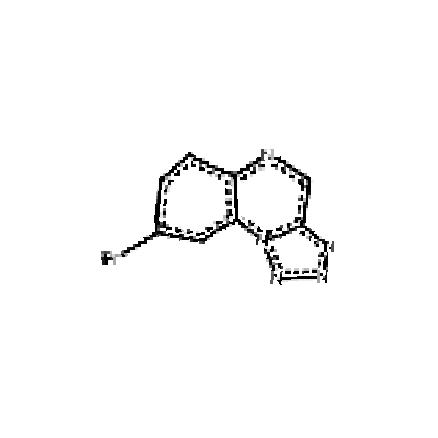 CC(C)c1ccc2ncc3nnnn3c2c1